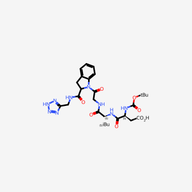 CC[C@H](C)[C@H](NC(=O)[C@H](CC(=O)O)NC(=O)OC(C)(C)C)C(=O)NCC(=O)N1c2ccccc2CC1C(=O)NCc1nn[nH]n1